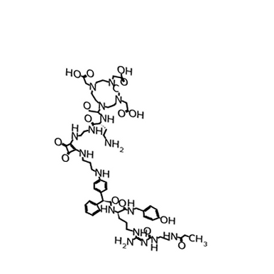 CCC(=O)NCCNC(=O)/N=C(/N)NCCC[C@@H](NC(=O)[C@@H](c1ccccc1)c1ccc(NCCCNc2c(NCCNC(=O)[C@@H](CCN)NC(C=O)N3CCN(CC(=O)O)CCN(CC(=O)O)CCN(CC(=O)O)CC3)c(=O)c2=O)cc1)C(=O)NCc1ccc(O)cc1